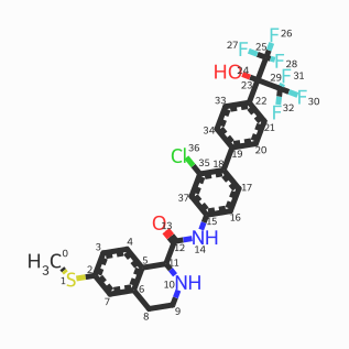 CSc1ccc2c(c1)CCNC2C(=O)Nc1ccc(-c2ccc(C(O)(C(F)(F)F)C(F)(F)F)cc2)c(Cl)c1